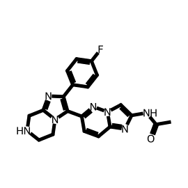 CC(=O)Nc1cn2nc(-c3c(-c4ccc(F)cc4)nc4n3CCNC4)ccc2n1